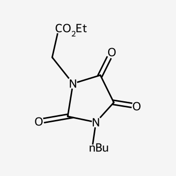 CCCCN1C(=O)C(=O)N(CC(=O)OCC)C1=O